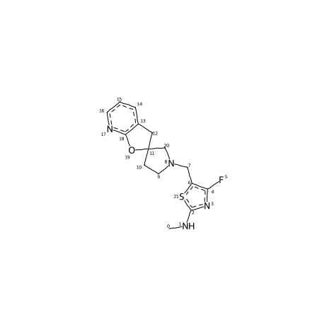 CNc1nc(F)c(CN2CCC3(Cc4cccnc4O3)C2)s1